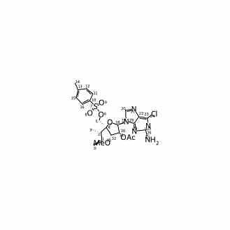 C=C[C@H](C)[C@@]1(COS(=O)(=O)c2ccc(C)cc2)O[C@@H](n2cnc3c(Cl)nc(N)nc32)[C@H](OC(C)=O)[C@@H]1OC